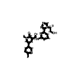 Cc1ccc(-c2cc(C(=O)Nc3cccc(-c4nncn4[C@H](C)CO)n3)c(=O)n(C)c2)cn1